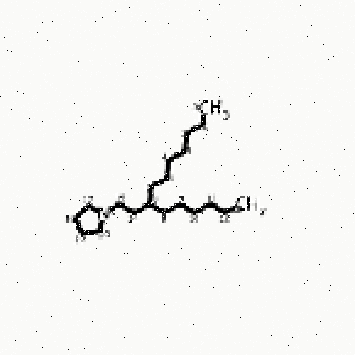 CCCCCCCC(CCCCCC)CCN1CCCC1